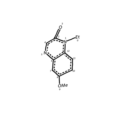 CCn1c(=O)cnc2cc(OC)ccc21